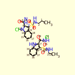 CCCNS(=O)(=O)c1c(C(N)=O)n(Cl)c2ccccc12.CCNS(=O)(=O)c1c(C(=O)NCl)[nH]c2ccccc12